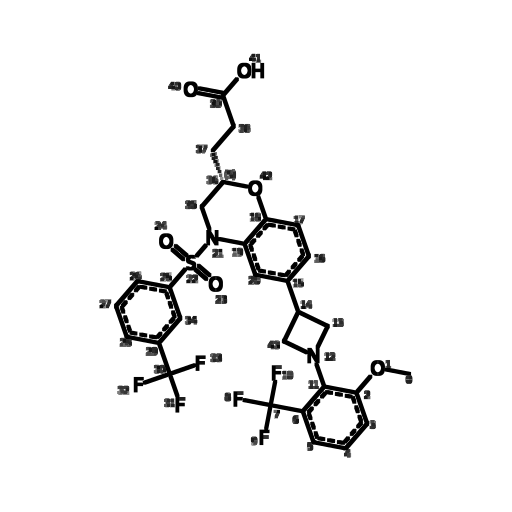 COc1cccc(C(F)(F)F)c1N1CC(c2ccc3c(c2)N(S(=O)(=O)c2cccc(C(F)(F)F)c2)C[C@H](CCC(=O)O)O3)C1